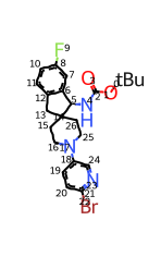 CC(C)(C)OC(=O)N[C@@H]1c2cc(F)ccc2CC12CCN(c1ccc(Br)nc1)CC2